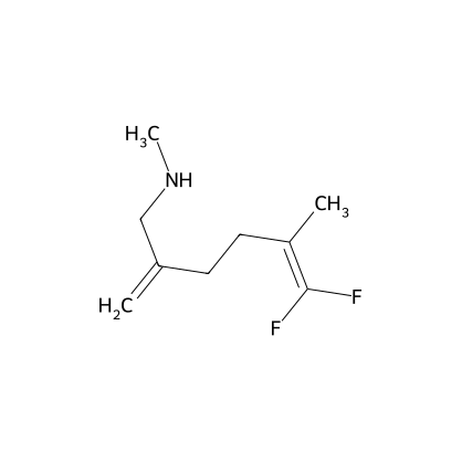 C=C(CCC(C)=C(F)F)CNC